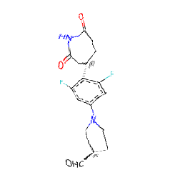 O=C[C@@H]1CCN(c2cc(F)c([C@H]3CCC(=O)NC3=O)c(F)c2)C1